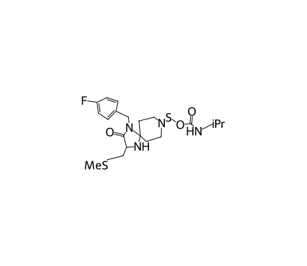 CSCCC1NC2(CCN(SOC(=O)NC(C)C)CC2)N(Cc2ccc(F)cc2)C1=O